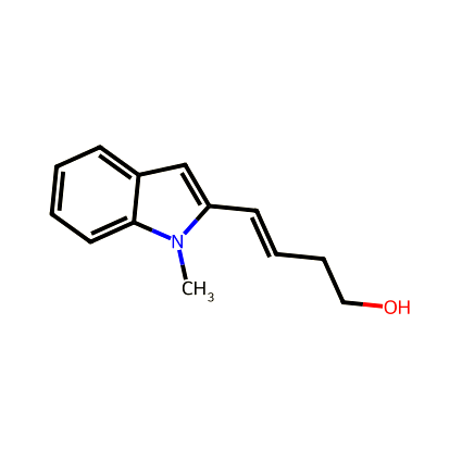 Cn1c(C=CCCO)cc2ccccc21